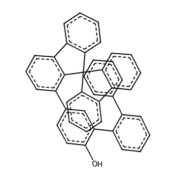 Oc1ccc(-c2cccc3c2C2(c4ccccc4-c4ccccc42)c2ccccc2-3)cc1-c1ccccc1-c1ccccc1